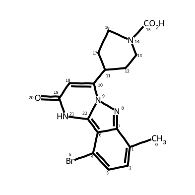 Cc1ccc(Br)c2c1nn1c(C3CCN(C(=O)O)CC3)cc(=O)[nH]c21